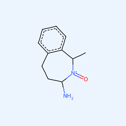 CC1c2ccccc2CCC(N)[N+]1=O